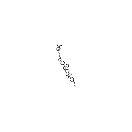 C=CC(=O)OCCCCCOc1ccc(C(=O)Oc2ccc(OC(=O)c3ccc(CCCC)cc3)cc2)cc1